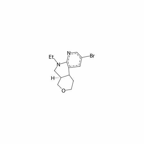 CCN1C[C@@H]2COCCC2c2cc(Br)cnc21